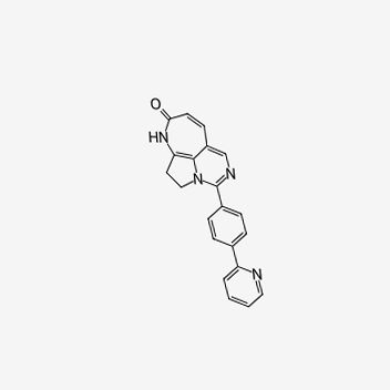 O=C1C=CC2=CN=C(c3ccc(-c4ccccn4)cc3)N3CCC(=C23)N1